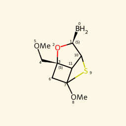 B[C@@H]1O[C@@]2(COC)CC3(OC)SC1C32